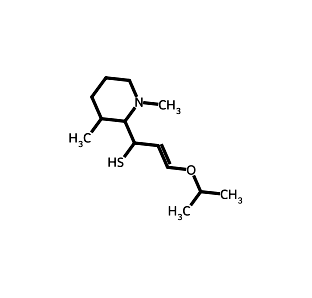 CC(C)O/C=C/C(S)C1C(C)CCCN1C